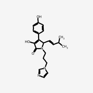 CC(C)C=CC1C(c2ccc(O)cc2)=C(O)C(=O)N1CCCn1ccnc1